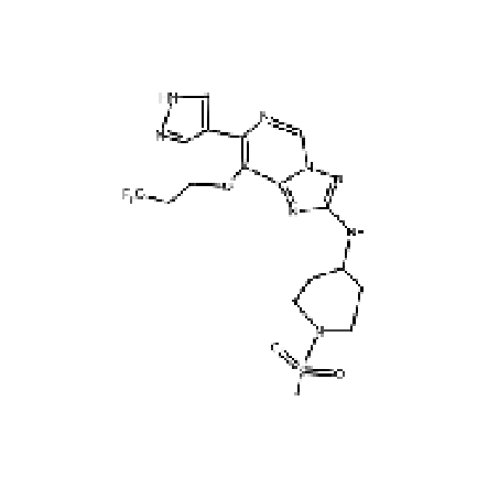 CS(=O)(=O)N1CCC(Nc2nc3c(OCCC(F)(F)F)c(-c4cn[nH]c4)ncn3n2)CC1